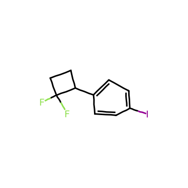 FC1(F)CCC1c1ccc(I)cc1